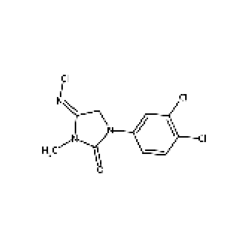 CN1C(=O)N(c2ccc(Cl)c(Cl)c2)CC1=NCl